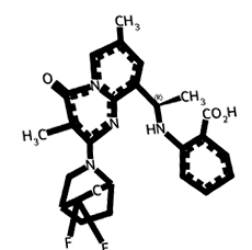 Cc1cc([C@@H](C)Nc2ccccc2C(=O)O)c2nc(N3CC4CCC3CC4(F)F)c(C)c(=O)n2c1